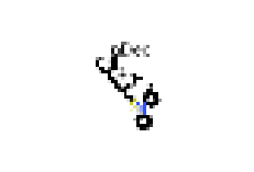 C=CC(CCCCCCCCCCCCC)CCCC(C=C)CCSN(c1ccccc1)c1ccccc1